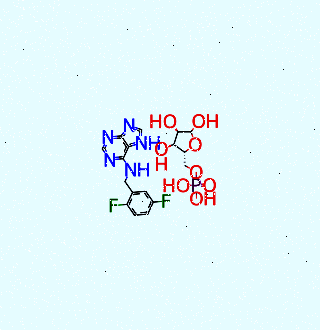 Fc1ccc(F)c(CNc2ncnc3nc[nH]c23)c1.O=P(O)(O)OC[C@H]1OC(O)[C@H](O)[C@@H]1O